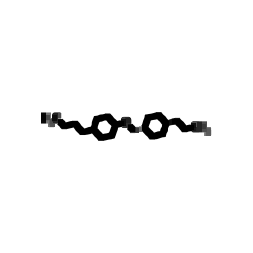 CCCCC1CCC(OC[C@H]2CC[C@H](CCC)CC2)CC1